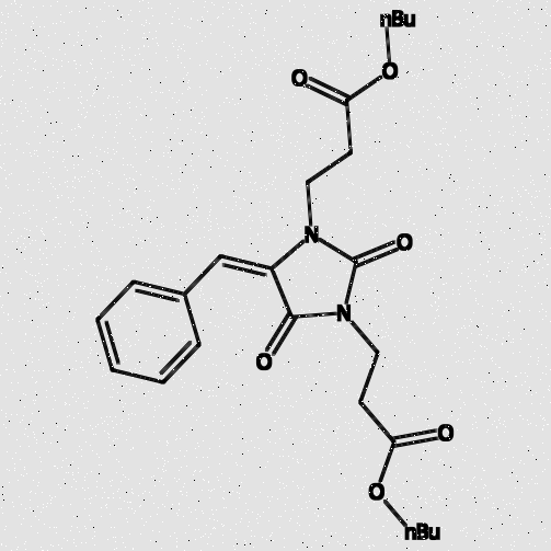 CCCCOC(=O)CCN1C(=O)/C(=C\c2ccccc2)N(CCC(=O)OCCCC)C1=O